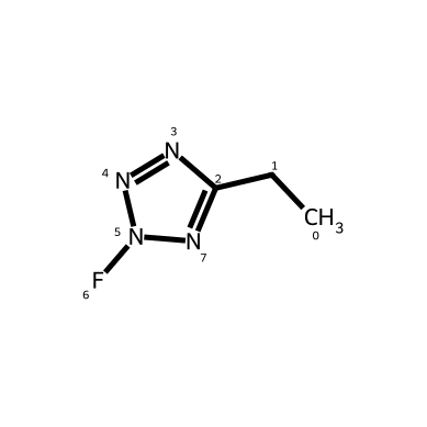 CCc1nnn(F)n1